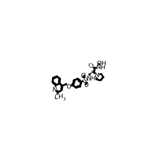 Cc1cc(COc2ccc(S(=O)(=O)NC[C@H](C(=O)NO)N3CCCC3)cc2)c2ccccc2n1